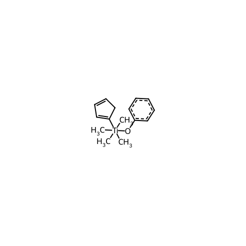 [CH3][Ti]([CH3])([CH3])([CH3])([O]c1ccccc1)[C]1=CC=CC1